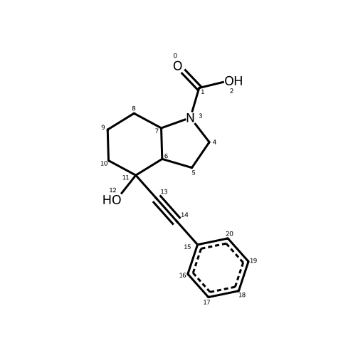 O=C(O)N1CCC2C1CCCC2(O)C#Cc1ccccc1